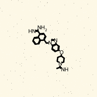 CC(=N)N1CCC(Oc2ccc3c(c2)ncn3Cc2ccc(C(=N)N)c3ccccc23)CC1